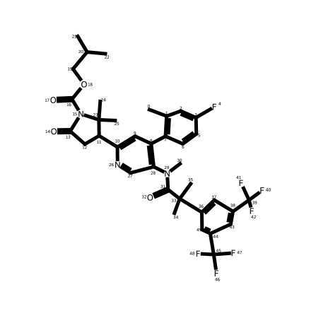 Cc1cc(F)ccc1-c1cc(C2CC(=O)N(C(=O)OCC(C)C)C2(C)C)ncc1N(C)C(=O)C(C)(C)c1cc(C(F)(F)F)cc(C(F)(F)F)c1